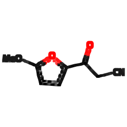 COc1ccc(C(=O)CC#N)o1